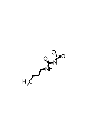 CCCCNC(=O)N=S(=O)=O